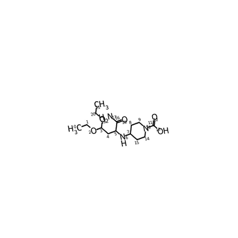 CCOC(CC(NC1CCN(C(=O)O)CC1)C(N)=O)OCC